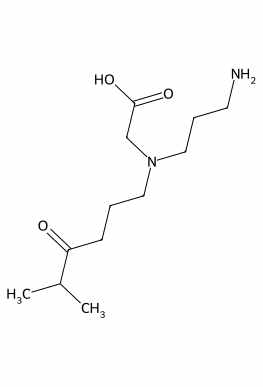 CC(C)C(=O)CCCN(CCCN)CC(=O)O